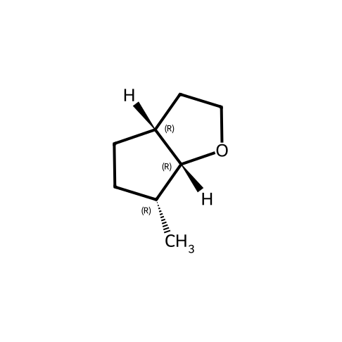 C[C@@H]1CC[C@@H]2CCO[C@@H]21